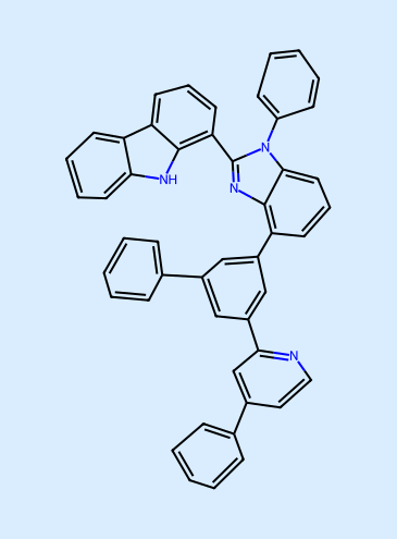 c1ccc(-c2cc(-c3cc(-c4ccccc4)ccn3)cc(-c3cccc4c3nc(-c3cccc5c3[nH]c3ccccc35)n4-c3ccccc3)c2)cc1